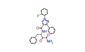 NC(=O)C(=O)C(Cc1ccccc1)NC(=O)c1cn(-c2ccccc2F)nc1-c1ccccc1